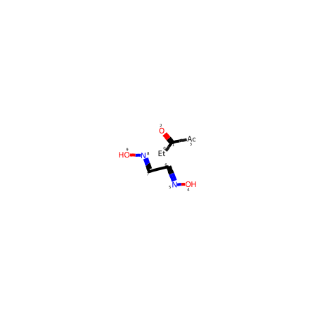 CCC(=O)C(C)=O.ON=CC=NO